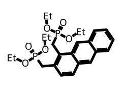 CCOP(=O)(Cc1ccc2cc3ccccc3cc2c1CP(=O)(OCC)OCC)OCC